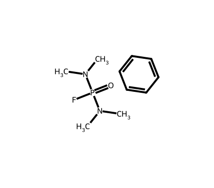 CN(C)P(=O)(F)N(C)C.c1ccccc1